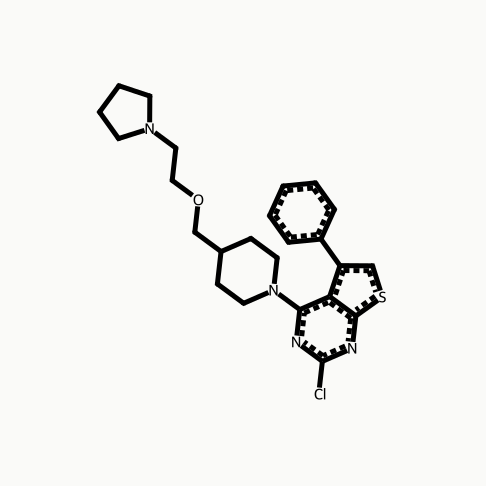 Clc1nc(N2CCC(COCCN3CCCC3)CC2)c2c(-c3ccccc3)csc2n1